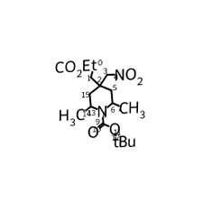 CCOC(=O)CC1(C[N+](=O)[O-])CC(C)N(C(=O)OC(C)(C)C)C(C)C1